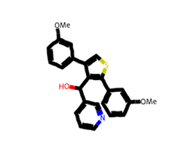 COc1cccc(-c2csc(-c3cccc(OC)c3)c2C(O)c2cccnc2)c1